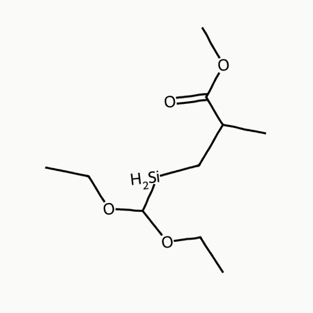 CCOC(OCC)[SiH2]CC(C)C(=O)OC